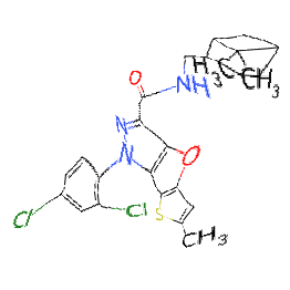 Cc1cc2oc3c(C(=O)NCC4CCC5CC4C5(C)C)nn(-c4ccc(Cl)cc4Cl)c3c2s1